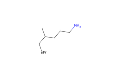 CCCCC(C)C[CH]CN